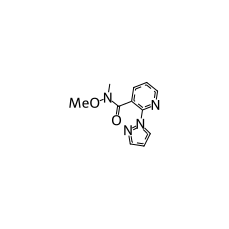 CON(C)C(=O)c1cccnc1-n1cccn1